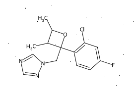 CC1OC(Cn2cncn2)(c2ccc(F)cc2Cl)C1C